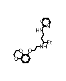 CCC(CCNc1ncccn1)NCCOc1cccc2c1OCCO2